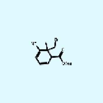 COC(=O)C1C=CC=C(C#N)C1(C)CBr